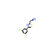 N#CCc1nc(-c2cc(F)cc(F)c2)cs1